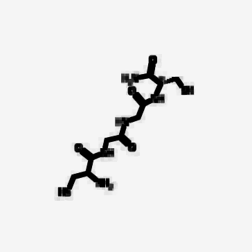 NC(=O)[C@H](CS)NC(=O)CNC(=O)CNC(=O)C(N)CS